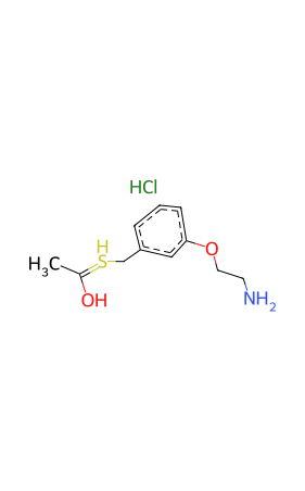 CC(O)=[SH]Cc1cccc(OCCN)c1.Cl